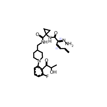 C=C/C=C\C(=N/N)C(=O)NC1(C(=O)NCC2CCN(c3cccc(F)c3C(=O)C(C)O)CC2)CC1